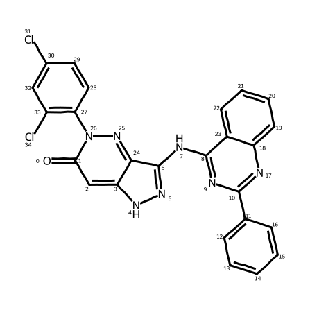 O=c1cc2[nH]nc(Nc3nc(-c4ccccc4)nc4ccccc34)c2nn1-c1ccc(Cl)cc1Cl